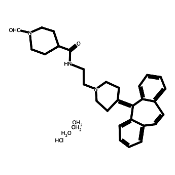 Cl.O.O.O.O=CN1CCC(C(=O)NCCN2CCC(=C3c4ccccc4C=Cc4ccccc43)CC2)CC1